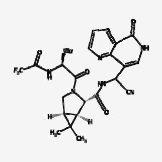 CC(C)(C)[C@H](NC(=O)C(F)(F)F)C(=O)N1C[C@H]2[C@@H]([C@H]1C(=O)NC(C#N)c1c[nH]c(=O)c3cccnc13)C2(C)C